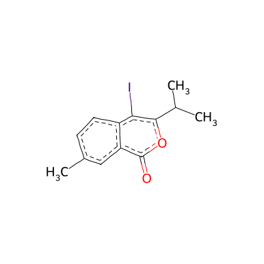 Cc1ccc2c(I)c(C(C)C)oc(=O)c2c1